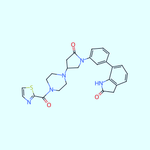 O=C1Cc2cccc(-c3cccc(N4CC(N5CCN(C(=O)c6nccs6)CC5)CC4=O)c3)c2N1